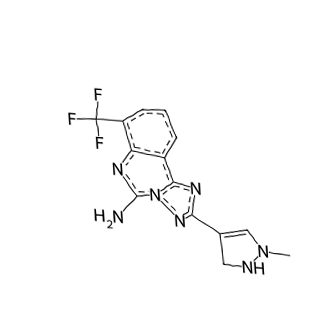 CN1C=C(c2nc3c4cccc(C(F)(F)F)c4nc(N)n3n2)CN1